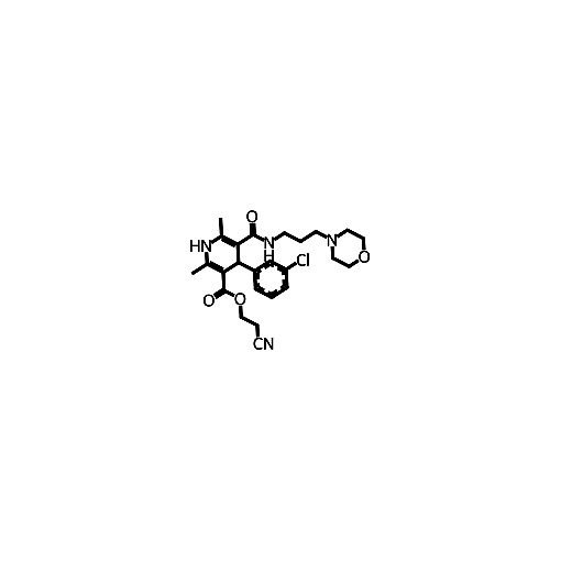 CC1=C(C(=O)NCCCN2CCOCC2)C(c2cccc(Cl)c2)C(C(=O)OCCC#N)=C(C)N1